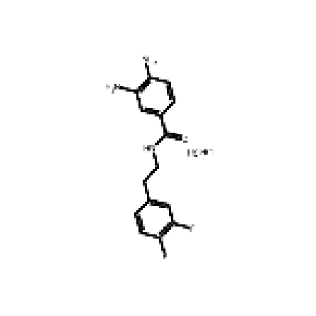 Cl.Cl.Nc1ccc(C(=O)NCCc2ccc(F)c(F)c2)cc1N